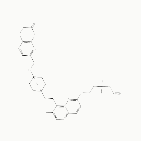 O=CNC(F)(F)CCOc1ccc2ncc(F)c(CCC34CCC(NCc5ccc6c(n5)NC(=O)CO6)(CC3)CO4)c2n1